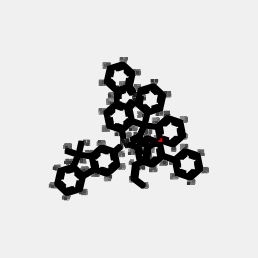 C=C1/C(=C\C=C/C)c2ccccc2C1(c1ccccc1)c1c(N(c2ccc(-c3ccccc3)cc2)c2ccc3c(c2)C(C)(C)c2ccccc2-3)ccc2c1oc1ccccc12